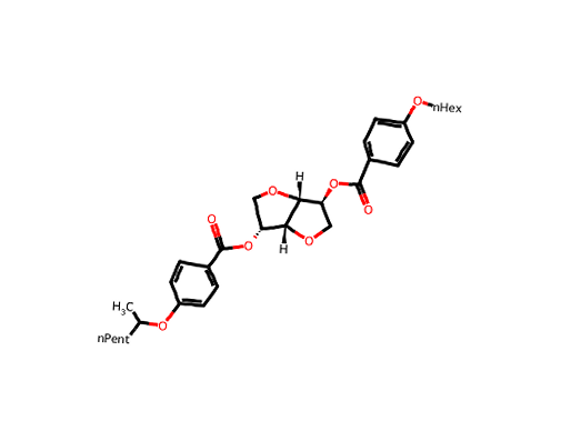 CCCCCCOc1ccc(C(=O)O[C@H]2CO[C@H]3[C@@H]2OC[C@H]3OC(=O)c2ccc(OC(C)CCCCC)cc2)cc1